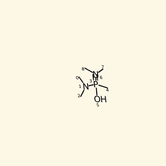 CN(C)[PH](C)(O)N(C)C